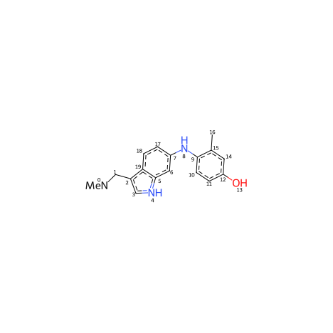 CNCc1c[nH]c2cc(Nc3ccc(O)cc3C)ccc12